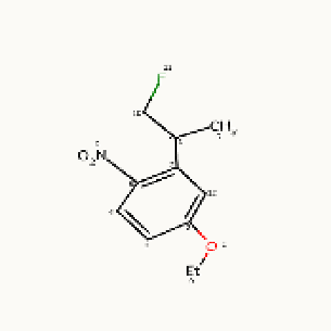 CCOc1ccc([N+](=O)[O-])c([C](C)CF)c1